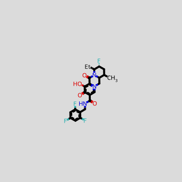 CCC1[C@H](F)CC(C)C2Cn3cc(C(=O)NCc4c(F)cc(F)cc4F)c(=O)c(O)c3C(=O)N21